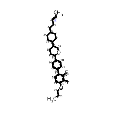 C/C=C/CCC1CCC(C2CCC(c3ccc(-c4ccc(OCCC)c(F)c4F)cc3)OC2)CC1